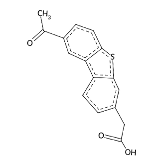 CC(=O)c1ccc2sc3cc(CC(=O)O)ccc3c2c1